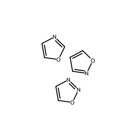 c1cnoc1.c1cocn1.c1conn1